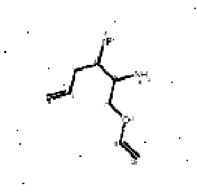 C=CCC(CCC)C(N)COC=C